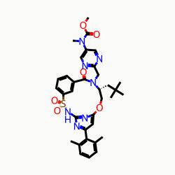 COC(=O)N(C)c1cnc(CN2C(=O)c3cccc(c3)S(=O)(=O)Nc3nc(cc(-c4c(C)cccc4C)n3)OC[C@H]2CC(C)(C)C)nc1